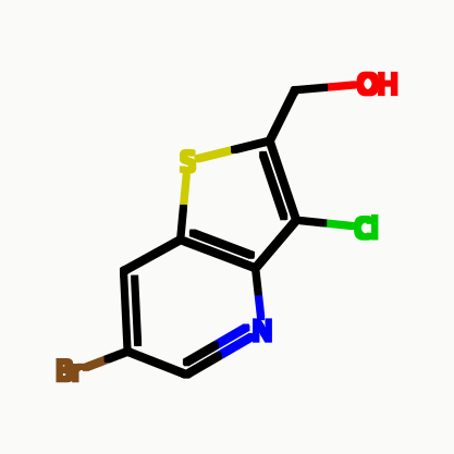 OCc1sc2cc(Br)cnc2c1Cl